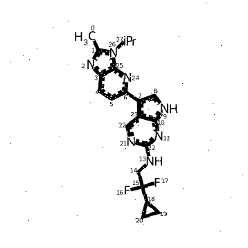 Cc1nc2ccc(-c3c[nH]c4nc(NCC(F)(F)C5CC5)ncc34)nc2n1C(C)C